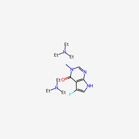 CCN(CC)CC.CCN(CC)CC.Cn1cnc2[nH]cc(F)c2c1=O